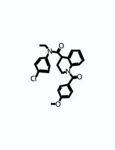 CCN(C(=O)C1CCN(C(=O)c2ccc(OC)cc2)c2ccccc21)c1ccc(Cl)cc1